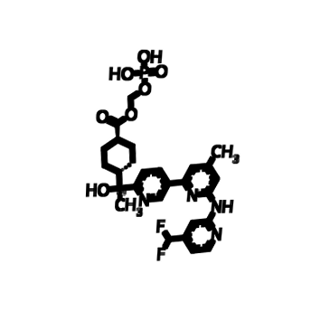 Cc1cc(Nc2cc(C(F)F)ccn2)nc(-c2ccc([C@](C)(O)[C@H]3CC[C@H](C(=O)OCOP(=O)(O)O)CC3)nc2)c1